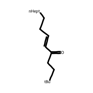 CCCCCCCCCC=CC(=O)CCC(C)(C)C